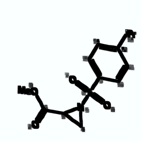 COC(=O)C1CN1S(=O)(=O)c1ccc(C(C)C)cc1